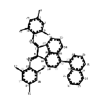 Cc1cc(C)c(N=C2C(=Nc3c(C)cc(C)cc3C)c3ccc(-c4cccc5ccccc45)c4cccc2c34)c(C)c1